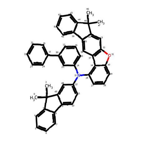 CC1(C)c2ccccc2-c2ccc(N(c3cccc(-c4ccccc4)c3)c3cccc4oc5cc6c(cc5c34)-c3ccccc3C6(C)C)cc21